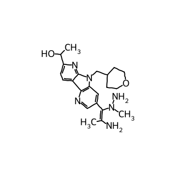 C/C(N)=C(\c1cnc2c3ccc(C(C)O)nc3n(CC3CCOCC3)c2c1)N(C)N